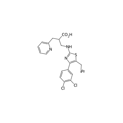 CC(C)Cc1sc(NCC(Cc2ccccn2)C(=O)O)nc1-c1ccc(Cl)c(Cl)c1